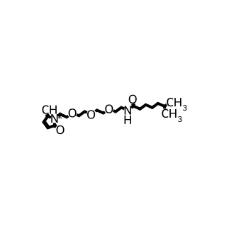 C=C1C=CC(=O)N1CCOCCOCCOCCNC(=O)CCCCC(C)C